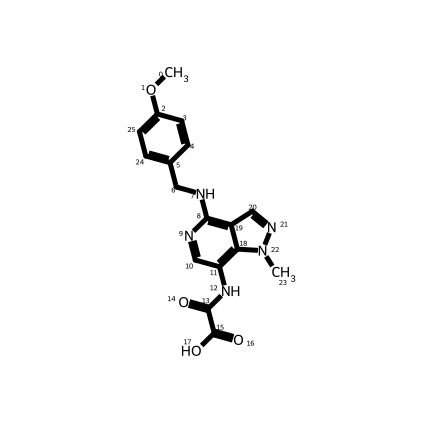 COc1ccc(CNc2ncc(NC(=O)C(=O)O)c3c2cnn3C)cc1